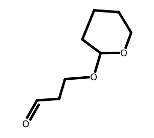 O=CCCOC1CCCCO1